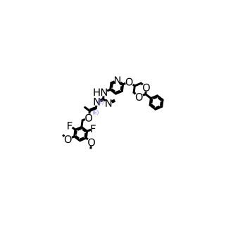 C=N/C(=N\C=C(/C)OCc1c(F)c(OC)cc(OC)c1F)Nc1ccc(OC2COC(c3ccccc3)OC2)nc1